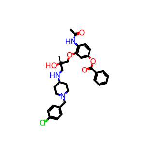 CC(=O)Nc1ccc(OC(=O)c2ccccc2)cc1OC[C@@](C)(O)CNC1CCN(Cc2ccc(Cl)cc2)CC1